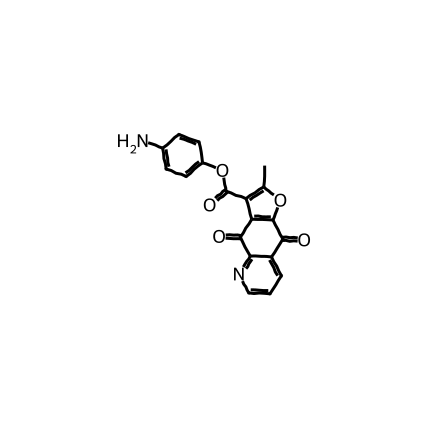 Cc1oc2c(c1C(=O)Oc1ccc(N)cc1)C(=O)c1ncccc1C2=O